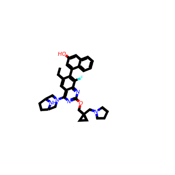 CCc1cc2c(N3CC4CCC(C3)N4)nc(OCC3(CN4CCCC4)CC3)nc2c(F)c1-c1cc(O)cc2ccccc12